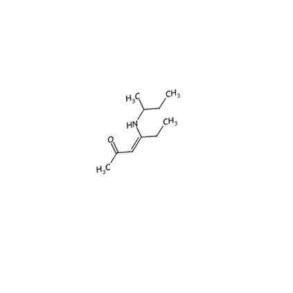 CC/C(=C/C(C)=O)NC(C)CC